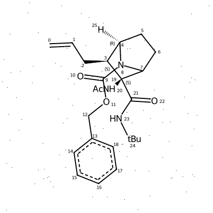 C=CC[C@H]1[C@H]2CCC(N2C(=O)OCc2ccccc2)[C@]1(NC(C)=O)C(=O)NC(C)(C)C